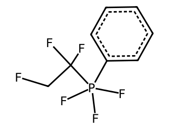 FCC(F)(F)P(F)(F)(F)c1ccccc1